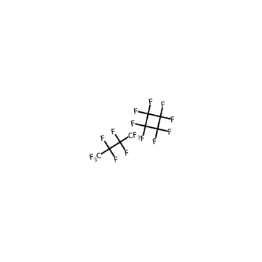 FC(F)(F)C(F)(F)C(F)(F)C(F)(F)F.FC1(F)C(F)(F)C(F)(F)C1(F)F